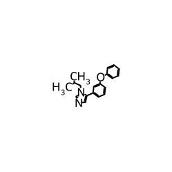 CC(C)Cn1cncc1-c1cccc(Oc2ccccc2)c1